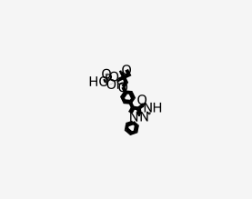 O=c1[nH]cnc2c1c(-c1ccc(OCC3(COP(=O)(O)O)COC3)cc1)cn2-c1ccccc1